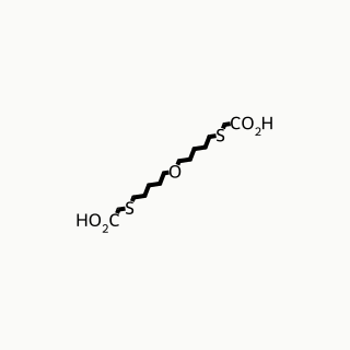 O=C(O)CSCCCCCOCCCCCSCC(=O)O